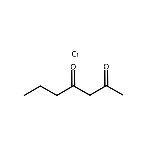 CCCC(=O)CC(C)=O.[Cr]